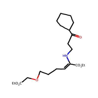 CCOC(=O)COCCC/C=C(\NCCC(=O)C1CCCCC1)C(=O)OCC